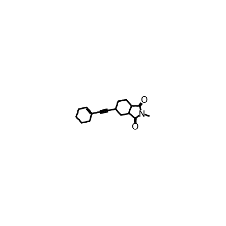 CN1C(=O)C2CCC(C#CC3=CCCCC3)CC2C1=O